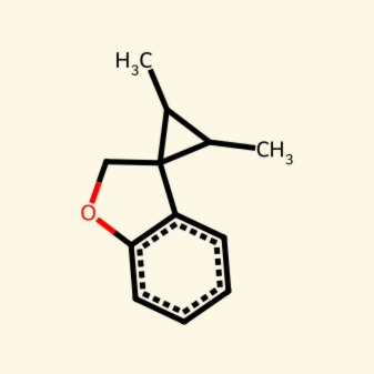 CC1C(C)C12COc1ccccc12